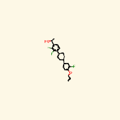 C=CCOc1ccc(C2CCC(c3ccc(C(C)O)c(F)c3F)CC2)cc1F